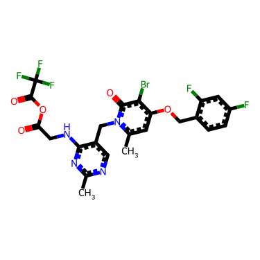 Cc1ncc(Cn2c(C)cc(OCc3ccc(F)cc3F)c(Br)c2=O)c(NCC(=O)OC(=O)C(F)(F)F)n1